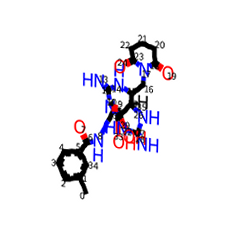 Cc1cccc(C(=O)NC2CN3C(=N)NC(CN4C(=O)CCCC4=O)[C@@H]4NC(=N)N[C@@]43C2(O)O)c1